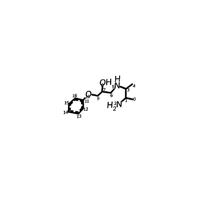 CC(N)C(C)NCC(O)COc1ccccc1